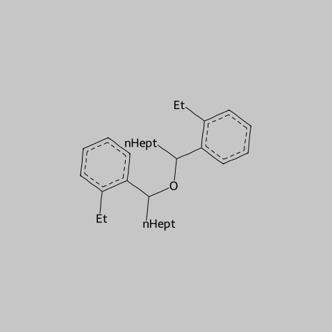 CCCCCCCC(OC(CCCCCCC)c1ccccc1CC)c1ccccc1CC